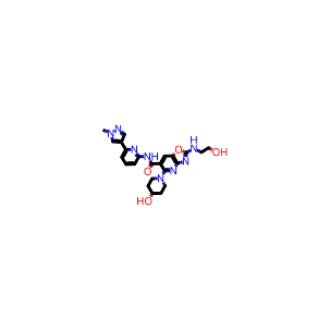 Cn1cc(-c2cccc(NC(=O)c3cc4oc(NCCO)nc4nc3N3CCC(O)CC3)n2)cn1